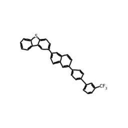 FC(F)(F)c1cccc(-c2ccc(-c3ccc4cc(-c5ccc6sc7ccccc7c6c5)ccc4c3)cc2)c1